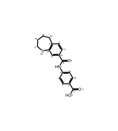 O=C(O)c1ccc(NC(=O)c2ccc3c(c2)SCCCC3)cc1